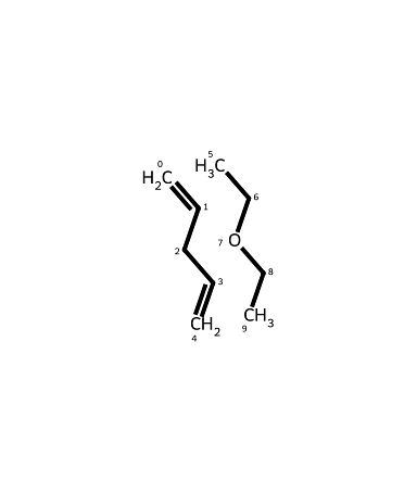 C=CCC=C.CCOCC